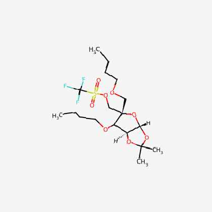 CCCCOC[C@@]1(COS(=O)(=O)C(F)(F)F)O[C@@H]2OC(C)(C)O[C@H]2C1OCCCC